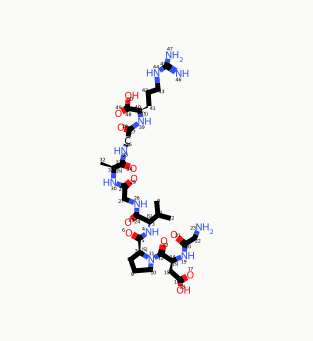 CC(C)[C@H](NC(=O)[C@@H]1CCCN1C(=O)[C@H](CC(=O)O)NC(=O)CN)C(=O)NCC(=O)N[C@@H](C)C(=O)NCC(=O)N[C@@H](CCCNC(=N)N)C(=O)O